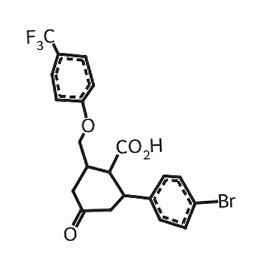 O=C1CC(COc2ccc(C(F)(F)F)cc2)C(C(=O)O)C(c2ccc(Br)cc2)C1